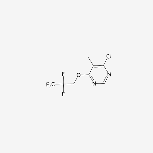 Cc1c(Cl)ncnc1OCC(F)(F)C(F)(F)F